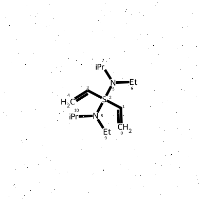 C=CS(C=C)(N(CC)C(C)C)N(CC)C(C)C